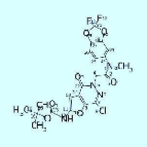 CN(C(=O)Cn1nc(Cl)c2oc(NC(=O)OC(C)(C)C)cc2c1=O)c1ccc2c(c1)OC(F)(F)O2